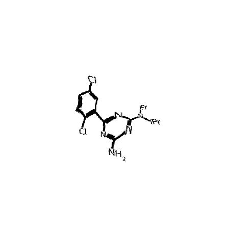 CC(C)N(c1nc(N)nc(-c2cc(Cl)ccc2Cl)n1)C(C)C